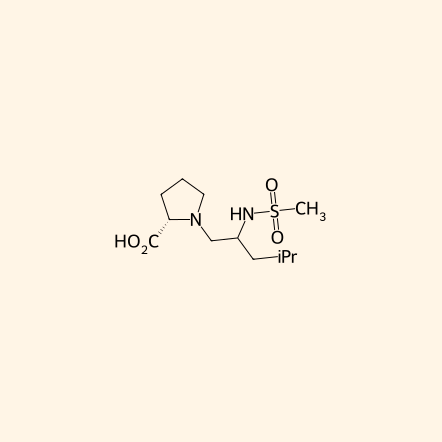 CC(C)CC(CN1CCC[C@H]1C(=O)O)NS(C)(=O)=O